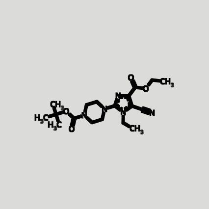 CCOC(=O)c1nc(N2CCN(C(=O)OC(C)(C)C)CC2)n(CC)c1C#N